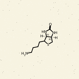 NCCCCC1SC[C@@H]2NC(=O)N[C@H]12